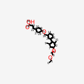 CCOCCOc1cc(C)c(-c2cccc(COc3ccc(C=CC(=O)O)cc3)c2)c(C)c1